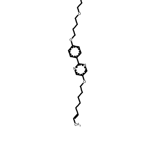 CC=CCCCCCOc1cnc(-c2ccc(OCCCCOCCC)cc2)nc1